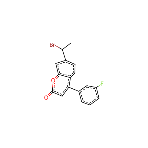 CC(Br)c1ccc2c(-c3cccc(F)c3)cc(=O)oc2c1